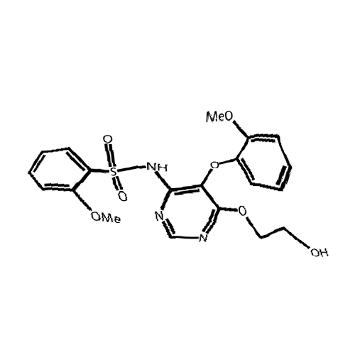 COc1ccccc1Oc1c(NS(=O)(=O)c2ccccc2OC)ncnc1OCCO